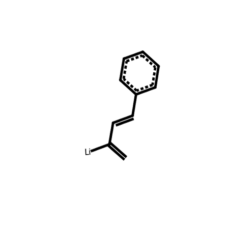 [Li][C](=C)C=Cc1ccccc1